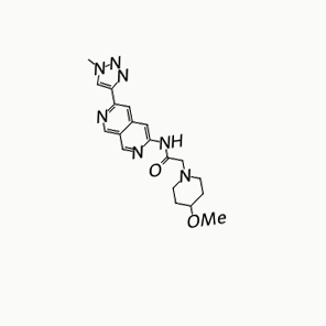 COC1CCN(CC(=O)Nc2cc3cc(-c4cn(C)nn4)ncc3cn2)CC1